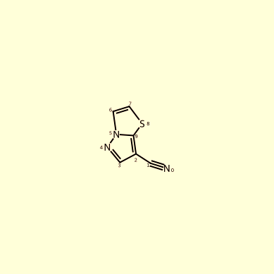 N#Cc1cnn2ccsc12